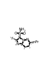 CCCc1ccc2nc(F)c(S(N)(=O)=O)n2n1